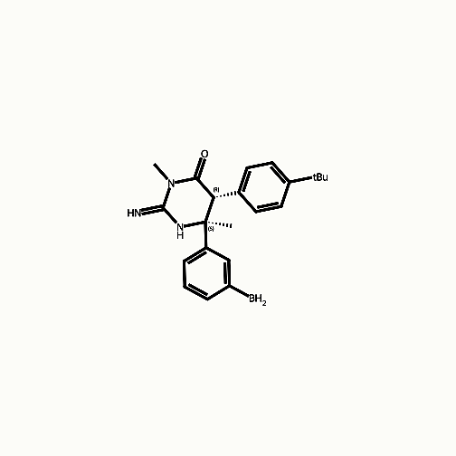 Bc1cccc([C@@]2(C)NC(=N)N(C)C(=O)[C@@H]2c2ccc(C(C)(C)C)cc2)c1